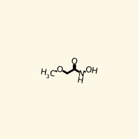 COCC(=O)NO